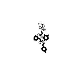 Cc1ccc(CCN(C(=O)[C@@H](NC(=O)CCNC(=O)OC(C)(C)C)c2ccccc2)c2ccc(C)c(C)c2)cc1